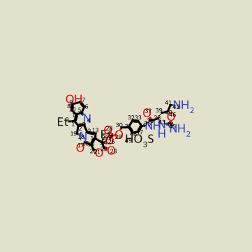 CCc1c2c(nc3ccc(O)cc13)-c1cc3c(c(=O)n1C2)COC(=O)[C@@]3(CC)OC(=O)OCc1ccc(NC(=O)[C@H](CCCN)NC(N)=O)cc1S(=O)(=O)O